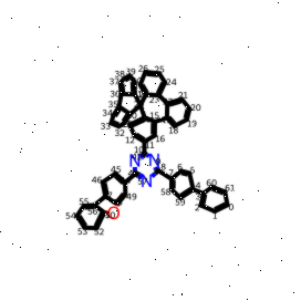 c1ccc(-c2ccc(-c3nc(-c4ccc5c(c4)-c4ccccc4-c4ccccc4C54c5ccccc5-c5ccccc54)nc(-c4ccc5c(c4)oc4ccccc45)n3)cc2)cc1